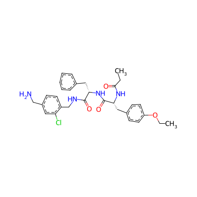 CCOc1ccc(C[C@@H](NC(=O)CC)C(=O)N[C@@H](Cc2ccccc2)C(=O)NCc2ccc(CN)cc2Cl)cc1